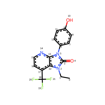 CCn1c(=O)n(-c2ccc(O)cc2)c2nccc(C(F)(F)F)c21